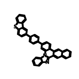 c1ccc2cc3c(cc2c1)c1ccc(-c2ccc(-c4ccc5sc6ccccc6c5c4)cc2)cc1n1c2ccccc2nc31